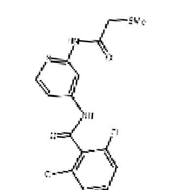 CSCC(=O)Nc1cc(NC(=O)c2c(Cl)cccc2Cl)ccn1